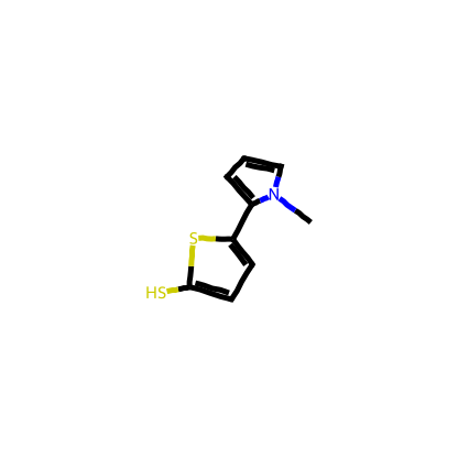 Cn1cccc1-c1ccc(S)s1